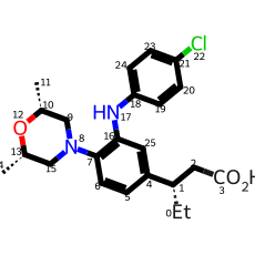 CC[C@@H](CC(=O)O)c1ccc(N2C[C@@H](C)O[C@@H](C)C2)c(Nc2ccc(Cl)cc2)c1